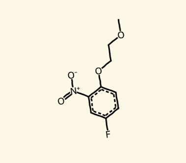 COCCOc1ccc(F)cc1[N+](=O)[O-]